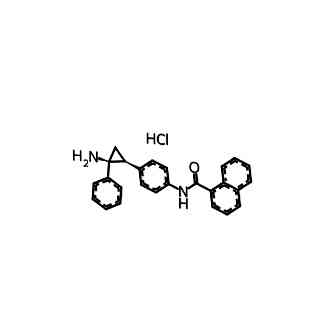 Cl.N[C@@]1(c2ccccc2)C[C@H]1c1ccc(NC(=O)c2cccc3ccccc23)cc1